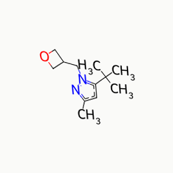 Cc1cc(C(C)(C)C)n(CC2COC2)n1